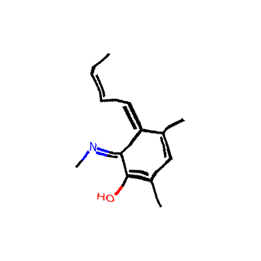 C\C=C/C=C1/C(C)=CC(C)=C(O)/C1=N\C